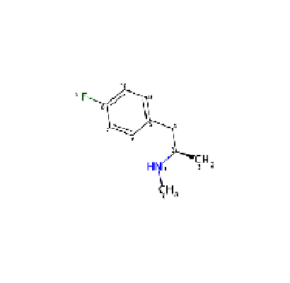 CN[C@H](C)Cc1ccc(F)cc1